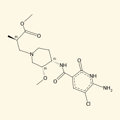 COC(=O)[C@H](C)CN1CC[C@H](NC(=O)c2cc(Cl)c(N)[nH]c2=O)[C@H](OC)C1